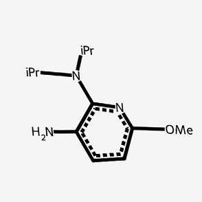 COc1ccc(N)c(N(C(C)C)C(C)C)n1